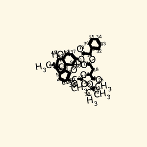 COc1ccc2c3c1O[C@H]1C(OC(=O)[C@@H](OC(=O)CC(OC(C)=O)C(=O)OC(C)(C)C)c4ccccc4)=CC[C@@]4(O)[C@@H](C2)N(C)CC[C@]314